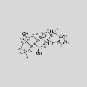 C[C@@H]1c2oncc2C[C@]2(C)C3=C[C@@H](O)C4C5CC(C)(C)CC[C@]5(CO)CC[C@@]4(C)[C@]3(C)CC[C@@H]12